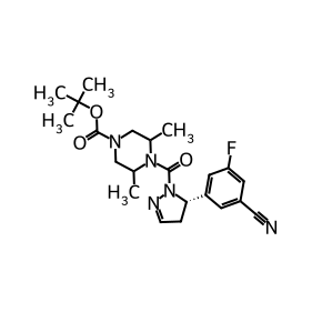 CC1CN(C(=O)OC(C)(C)C)CC(C)N1C(=O)N1N=CC[C@H]1c1cc(F)cc(C#N)c1